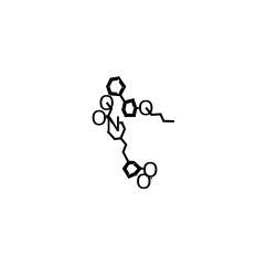 CCCCOc1cccc(-c2ccccc2OCC(=O)N2CCC(CCc3ccc4c(c3)OCO4)CC2)c1